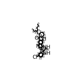 CCCCN(CC)C[C@@H]1CCCCN1C(=O)c1cc2ncnc(N[C@@H](C)c3nc4cc(Cl)ccc4[nH]3)c2cc1Cl